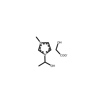 CC(O)[n+]1ccn(C)c1.O=C([O-])CO